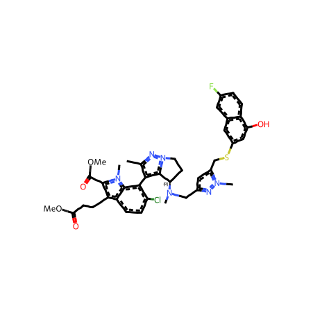 COC(=O)CCc1c(C(=O)OC)n(C)c2c(-c3c(C)nn4c3[C@H](N(C)Cc3cc(CSc5cc(O)c6ccc(F)cc6c5)n(C)n3)CC4)c(Cl)ccc12